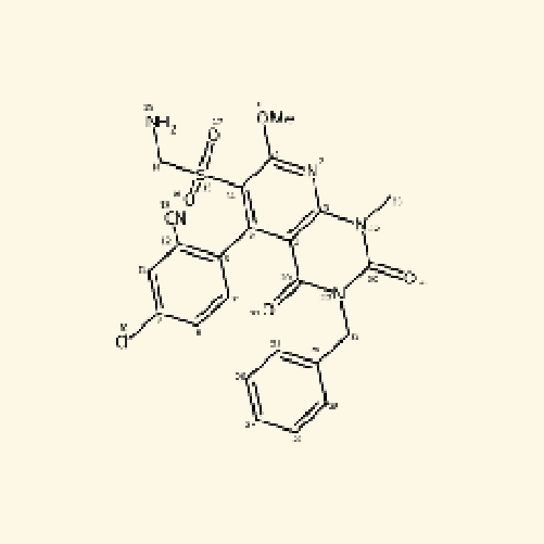 COc1nc2c(c(-c3ccc(Cl)cc3C#N)c1S(=O)(=O)CN)c(=O)n(Cc1ccccc1)c(=O)n2C